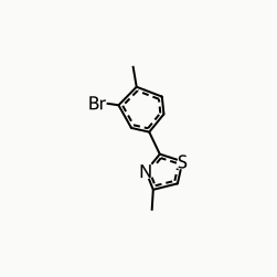 Cc1csc(-c2ccc(C)c(Br)c2)n1